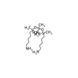 C[Si](C)(CCCCCN)O[Si](C)(C)O[Si](C)(C)CCCCCN